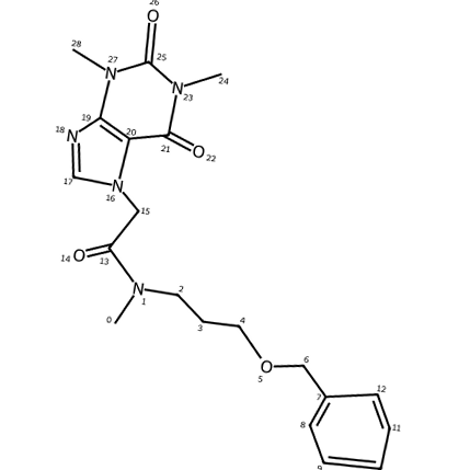 CN(CCCOCc1ccccc1)C(=O)Cn1cnc2c1c(=O)n(C)c(=O)n2C